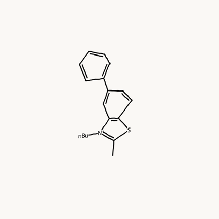 CCCC[n+]1c(C)sc2ccc(-c3ccccc3)cc21